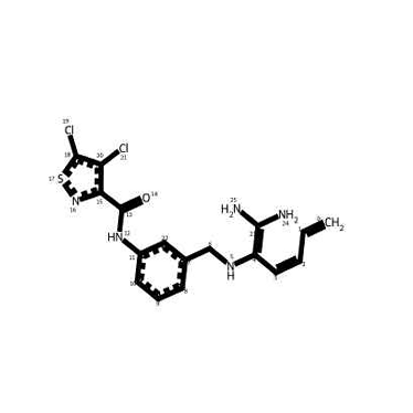 C=C/C=C\C(NCc1cccc(NC(=O)c2nsc(Cl)c2Cl)c1)=C(N)N